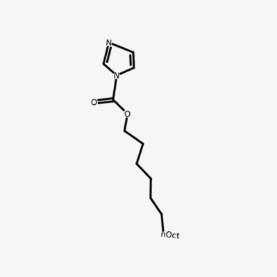 CCCCCCCCCCCCCCOC(=O)n1ccnc1